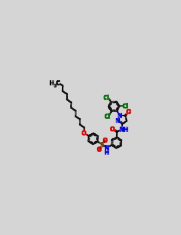 CCCCCCCCCCCCOc1ccc(S(=O)(=O)Nc2cccc(C(=O)NC3=NN(c4c(Cl)cc(Cl)cc4Cl)C(=O)C3)c2)cc1